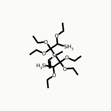 C=C[Si](C)(C(OCC)(OCC)C([SiH3])OCC)C(OCC)(OCC)C([SiH3])OCC